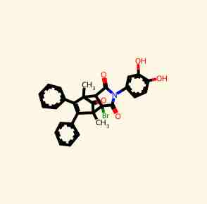 CC12C(=O)C(C)(C(c3ccccc3)=C1c1ccccc1)C1(Br)C(=O)N(c3ccc(O)c(O)c3)C(=O)C21